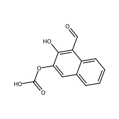 O=Cc1c(O)c(OC(=O)O)cc2ccccc12